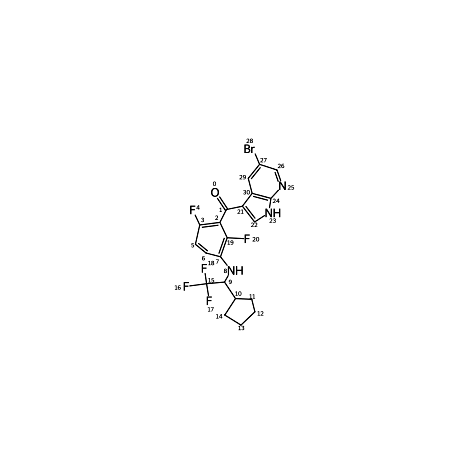 O=C(c1c(F)ccc(NC(C2CCCC2)C(F)(F)F)c1F)c1c[nH]c2ncc(Br)cc12